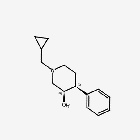 O[C@H]1CN(CC2CC2)CC[C@H]1c1ccccc1